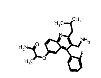 CC(C)Cc1nc2ccc(OC(C)C(N)=O)cc2c(-c2ccccc2F)c1CN